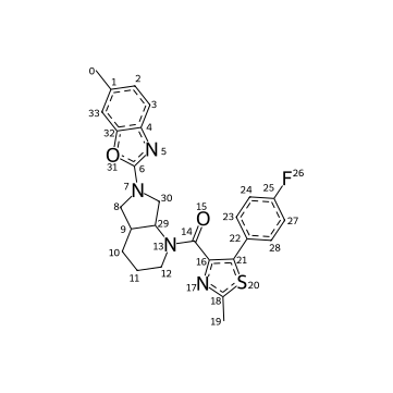 Cc1ccc2nc(N3CC4CCCN(C(=O)c5nc(C)sc5-c5ccc(F)cc5)C4C3)oc2c1